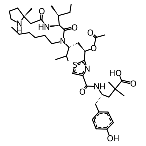 CCCCCCN(C(=O)[C@@H](NC(=O)C[C@@]1(C)CCCN1)[C@@H](C)CC)[C@H](C[C@@H](OC(C)=O)c1nc(C(=O)N[C@@H](Cc2ccc(O)cc2)CC(C)(C)C(=O)O)cs1)C(C)C